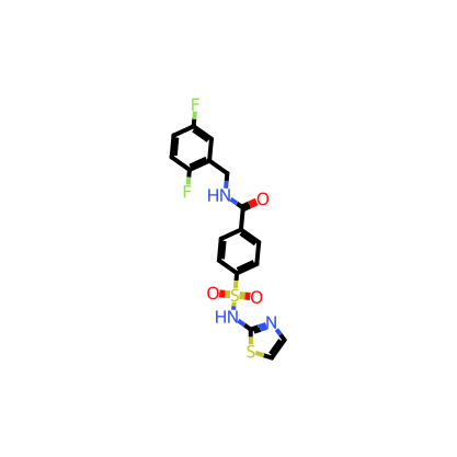 O=C(NCc1cc(F)ccc1F)c1ccc(S(=O)(=O)Nc2nccs2)cc1